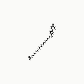 O=C(NCCCCCCCCCCCCCCCCCCO[N+](=O)[O-])c1ccc(N2CCNCC2)nc1